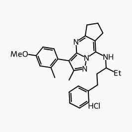 CCC(CCc1ccccc1)Nc1c2c(nc3c(-c4ccc(OC)cc4C)c(C)nn13)CCC2.Cl